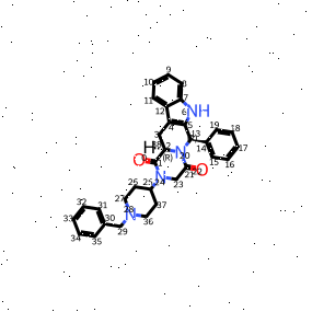 O=C1[C@H]2Cc3c([nH]c4ccccc34)[C@@H](c3ccccc3)N2C(=O)CN1C1CCN(Cc2ccccc2)CC1